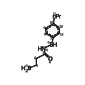 BCCC(=O)NBc1ccc(CCC)cc1